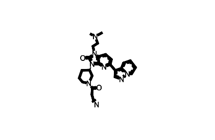 CN(C)CCn1c(=O)n([C@H]2CCCN(C(=O)CC#N)C2)c2nc(-c3cnn4ccccc34)ccc21